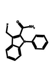 NC(=O)c1c(CF)c2ccccc2n1-c1ccccc1